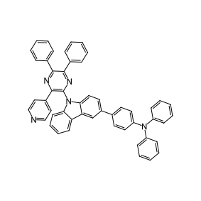 c1ccc(-c2nc(-c3ccncc3)c(-n3c4ccccc4c4cc(-c5ccc(N(c6ccccc6)c6ccccc6)cc5)ccc43)nc2-c2ccccc2)cc1